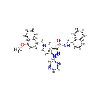 COc1ccc(CN2CCc3c(c(C(=O)NCc4cccc5ccccc45)nn3-c3cnccn3)C2)c2ccccc12